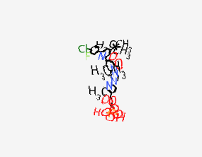 Cc1nc(N2CCN(C(=O)c3cc4nc(-c5ccc(Cl)c(F)c5)cc(C(C)(C)C)c4o3)C(C)(C)C2)ccc1C(=O)OCOP(=O)(O)O